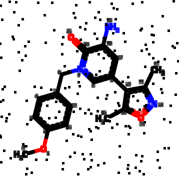 COc1ccc(Cn2cc(-c3c(C)noc3C)cc(N)c2=O)cc1